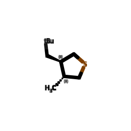 C[C@H]1CSC[C@@H]1CC(C)(C)C